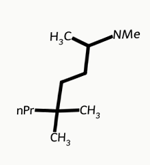 CCCC(C)(C)CCC(C)NC